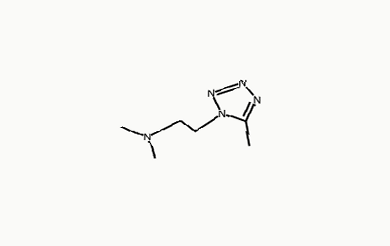 Cc1nnnn1CCN(C)C